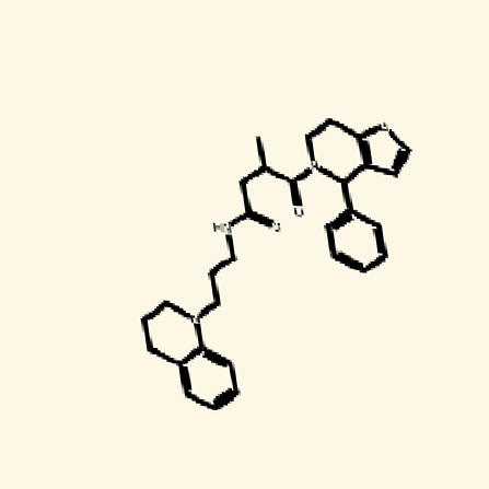 CC(CC(=O)NCCCN1CCCc2ccccc21)C(=O)N1CCc2sccc2C1c1ccccc1